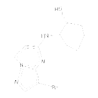 O[C@@H]1CCCC[C@@H]1Nc1c[c]n2ncc(Br)c2n1